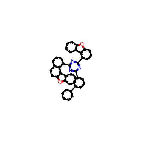 c1ccc(-c2cccc(-c3nc(-c4cccc5oc6ccccc6c45)nc(-c4cccc5ccc6oc7ccccc7c6c45)n3)c2)cc1